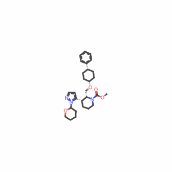 COC(=O)N1CCC[C@H](c2ccnn2C2CCCCO2)[C@@H]1CO[C@H]1CC[C@@H](c2ccccc2)CC1